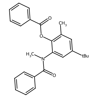 Cc1cc(C(C)(C)C)cc(N(C)C(=O)c2ccccc2)c1OC(=O)c1ccccc1